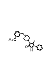 COc1cccc(CN2CCC(n3c(C)c(-c4ccccc4)[nH]c3=O)CC2)c1